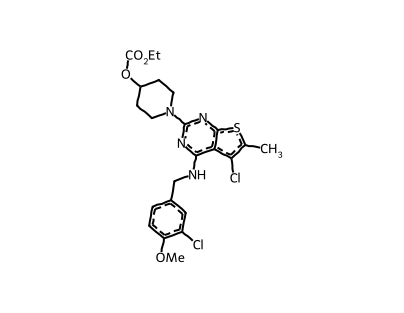 CCOC(=O)OC1CCN(c2nc(NCc3ccc(OC)c(Cl)c3)c3c(Cl)c(C)sc3n2)CC1